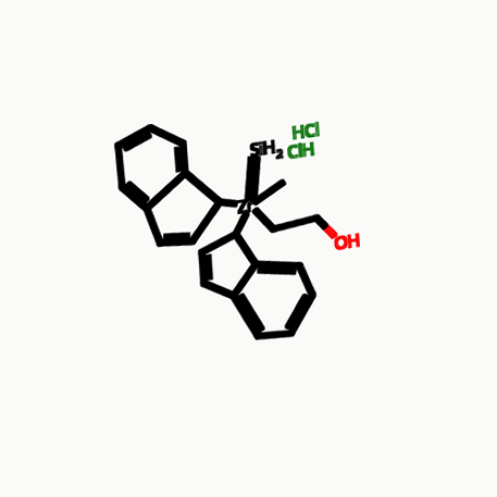 Cl.Cl.[CH3][Zr](=[SiH2])([CH2]CO)([CH]1C=Cc2ccccc21)[CH]1C=Cc2ccccc21